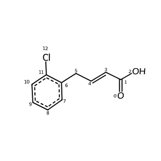 O=C(O)C=CCc1ccccc1Cl